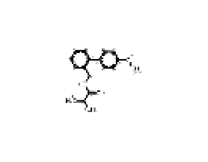 C=C(C)C(=O)OCc1ccccc1-c1ccc(OC)cc1